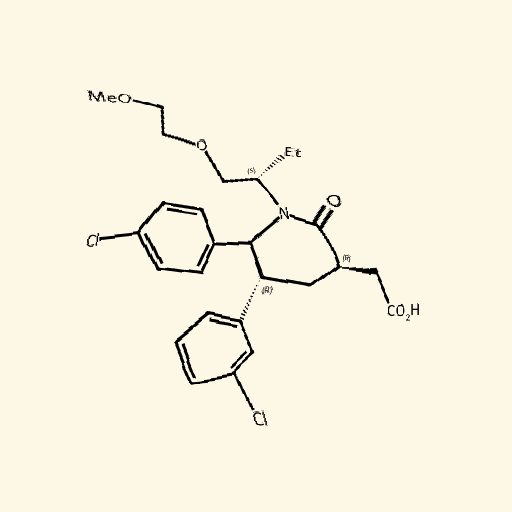 CC[C@@H](COCCOC)N1C(=O)[C@@H](CC(=O)O)C[C@H](c2cccc(Cl)c2)C1c1ccc(Cl)cc1